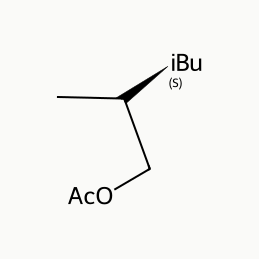 CC[C@H](C)C(C)COC(C)=O